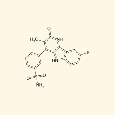 Cc1c(-c2cccc(S(N)(=O)=O)c2)c2[nH]c3ccc(F)cc3c2[nH]c1=O